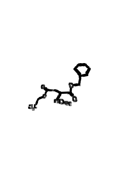 CCCCCCCCCCC(CC(=O)OCC(Cl)(Cl)Cl)C(=O)OCc1ccccc1